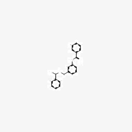 [CH2]CC(OCc1cccc(NC(=O)c2ccccc2)c1)c1ccccc1